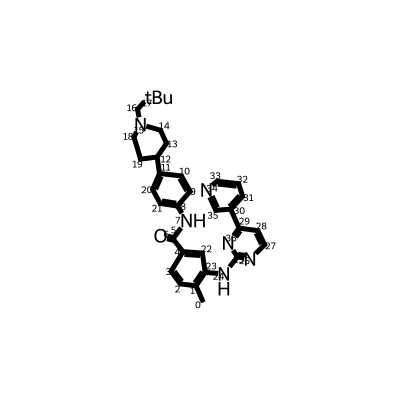 Cc1ccc(C(=O)Nc2ccc(C3CCN(CC(C)(C)C)CC3)cc2)cc1Nc1nccc(-c2cccnc2)n1